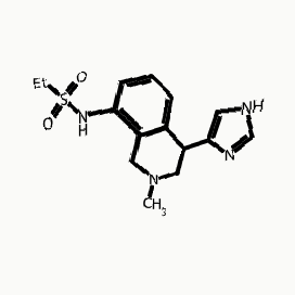 CCS(=O)(=O)Nc1cccc2c1CN(C)CC2c1c[nH]cn1